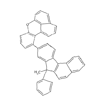 CC1(c2ccccc2)c2cc(-c3cccc4c3-c3cccc5cccc(c35)O4)ccc2-c2c1ccc1ccccc21